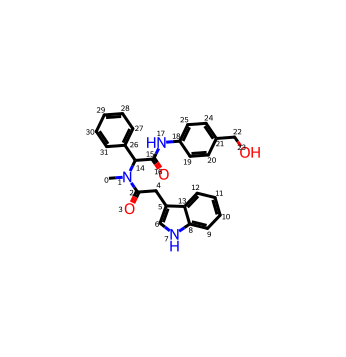 CN(C(=O)Cc1c[nH]c2ccccc12)C(C(=O)Nc1ccc(CO)cc1)c1ccccc1